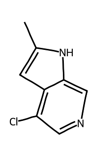 Cc1cc2c(Cl)cncc2[nH]1